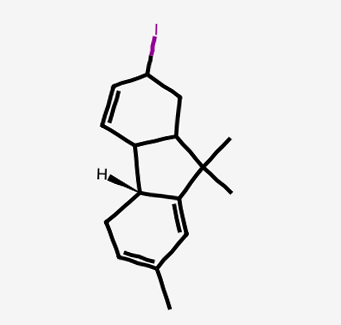 CC1=CC[C@H]2C(=C1)C(C)(C)C1CC(I)C=CC12